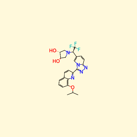 CC(C)Oc1cccc2ccc(-c3nnc4ccc([C@@H](N5C[C@@H](O)[C@H](O)C5)C(F)(F)F)cn34)nc12